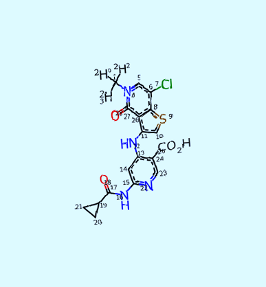 [2H]C([2H])([2H])n1cc(Cl)c2scc(Nc3cc(NC(=O)C4CC4)ncc3C(=O)O)c2c1=O